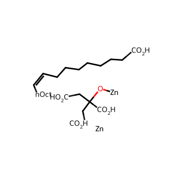 CCCCCCCC/C=C\CCCCCCCC(=O)O.O=C(O)CC(CC(=O)O)([O][Zn])C(=O)O.[Zn]